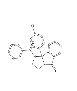 O=C(c1cccnc1)N1CCN2C(=O)c3ccccc3C12c1ccc(Cl)cc1